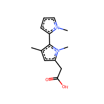 Cc1cc(CC(=O)O)n(C)c1-c1cccn1C